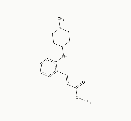 COC(=O)C=Cc1ccccc1NC1CCN(C)CC1